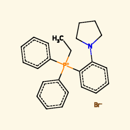 CC[P+](c1ccccc1)(c1ccccc1)c1ccccc1N1CCCC1.[Br-]